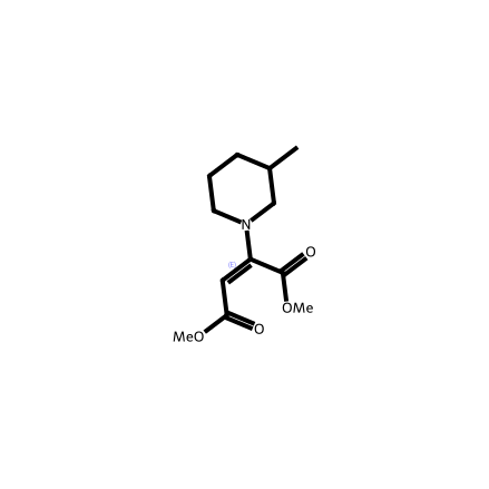 COC(=O)/C=C(\C(=O)OC)N1CCCC(C)C1